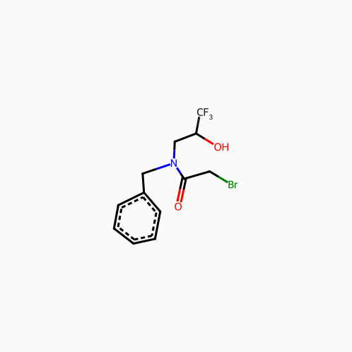 O=C(CBr)N(Cc1ccccc1)CC(O)C(F)(F)F